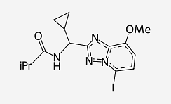 COc1ccc(I)n2nc(C(NC(=O)C(C)C)C3CC3)nc12